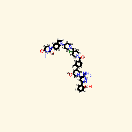 CO[C@@H]1C[C@H](c2ccc(C(=O)N3CCC(F)(CN4CCC(n5ccc6cc(N7CCC(=O)NC7=O)ccc65)CC4)CC3)cc2C)CN(c2cc(-c3ccccc3O)nnc2N)C1